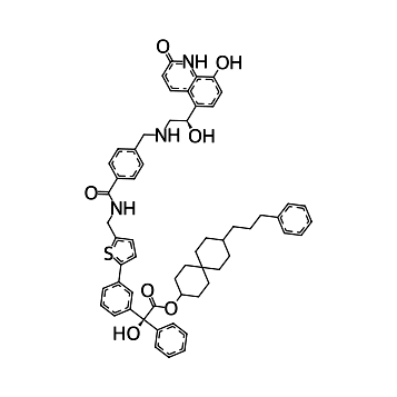 O=C(NCc1ccc(-c2cccc([C@](O)(C(=O)OC3CCC4(CCC(CCCc5ccccc5)CC4)CC3)c3ccccc3)c2)s1)c1ccc(CNC[C@H](O)c2ccc(O)c3[nH]c(=O)ccc23)cc1